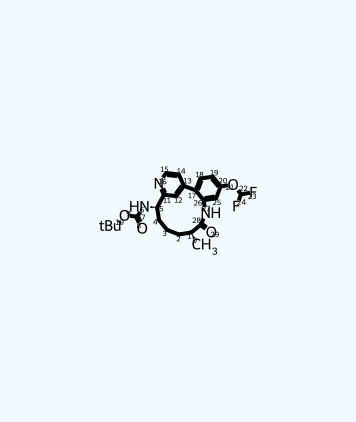 C[C@@H]1CCC[C@H](NC(=O)OC(C)(C)C)c2cc(ccn2)-c2ccc(OC(F)F)cc2NC1=O